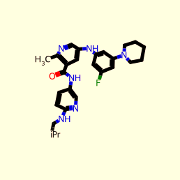 Cc1ncc(Nc2cc(F)cc(N3CCCCC3)c2)cc1C(=O)Nc1ccc(NCC(C)C)nc1